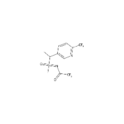 CC(c1ccc(C(F)(F)F)nc1)S(C)(=O)=NC(=O)C(F)(F)F